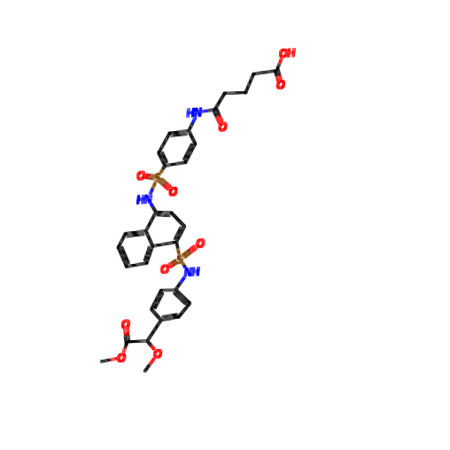 COC(=O)C(OC)c1ccc(NS(=O)(=O)c2ccc(NS(=O)(=O)c3ccc(NC(=O)CCCC(=O)O)cc3)c3ccccc23)cc1